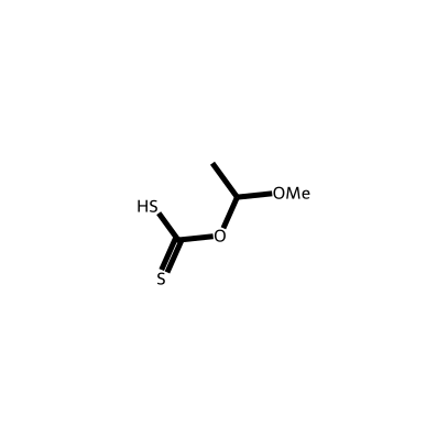 COC(C)OC(=S)S